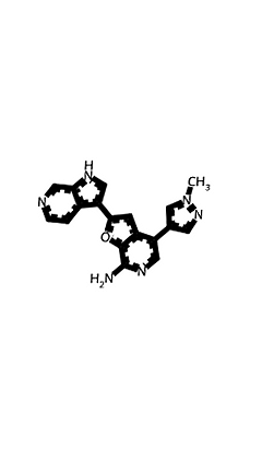 Cn1cc(-c2cnc(N)c3oc(-c4c[nH]c5cnccc45)cc23)cn1